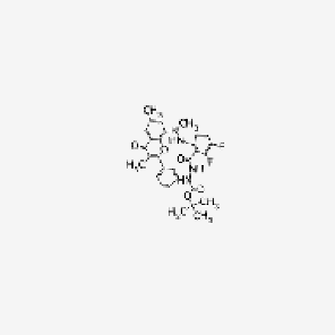 Cc1cc([C@@H](C)Nc2ccc(F)c(F)c2C(=O)NNC(=O)OC(C)(C)C)c2oc(-c3ccccc3)c(C)c(=O)c2c1